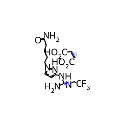 NC(=O)CCCCn1ccc(N/C(N)=N\CC(F)(F)F)n1.O=C(O)/C=C\C(=O)O